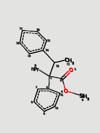 CCCC(C(=O)O[SiH3])(c1ccccc1)C(C)c1ccccc1